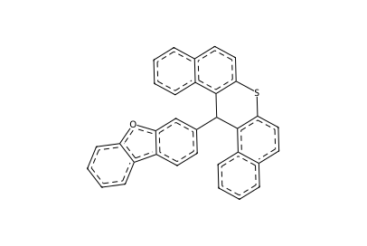 c1ccc2c3c(ccc2c1)Sc1ccc2ccccc2c1C3c1ccc2c(c1)oc1ccccc12